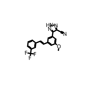 COc1cc(/C=C/c2cccc(C(F)(F)F)c2)cc(-c2n[nH]nc2C#N)c1